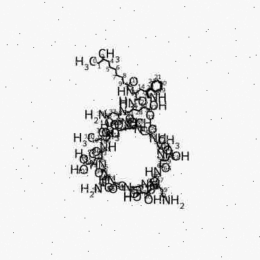 CCC(C)CCCCCCC(=O)NC(Cc1c[nH]c2ccccc12)C(=O)NC(CCC(=O)O)C(=O)NC(CC(N)=O)C(=O)NC1C(=O)N(C)CC(=O)NC(C)C(=O)NC(CC(=O)O)C(=O)NC(CCCCN)C(=O)NC(C(O)C(=O)O)C(=O)NCC(=O)NC(CC(N)=O)C(=O)NC(C(C)CC(=O)O)C(=O)NC(C(C)CC)C(=O)OC1C